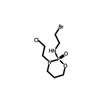 O=P1(NCCBr)OCCCN1CCCl